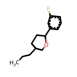 CCCC1CCC(c2cccc(F)c2)OC1